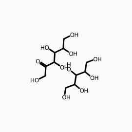 O=C(CO)C(O)C(O)C(O)CO.OCC(O)C(O)C(O)CO